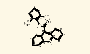 O=C(Oc1c(C(F)(F)F)cccc1C(F)(F)F)c1c2ccccc2nc2ccccc12